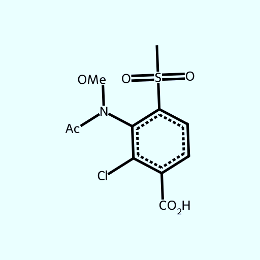 CON(C(C)=O)c1c(S(C)(=O)=O)ccc(C(=O)O)c1Cl